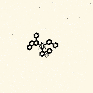 c1ccc(-c2cccc(-c3nc(-c4cc(-c5ccccc5)c5ccc6ccccc6c5c4)nc(-c4cccc5oc6ccccc6c45)n3)c2)cc1